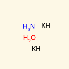 N.O.[KH].[KH]